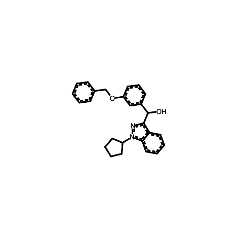 OC(c1cccc(OCc2ccccc2)c1)c1nn(C2CCCC2)c2ccccc12